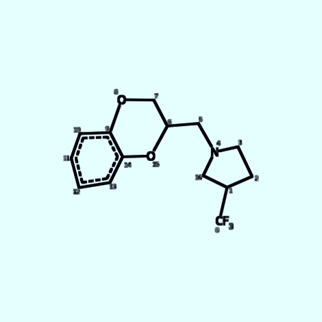 FC(F)(F)C1CCN(CC2COc3ccccc3O2)C1